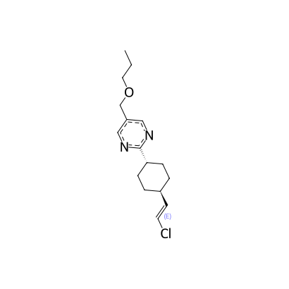 CCCOCc1cnc([C@H]2CC[C@H](/C=C/Cl)CC2)nc1